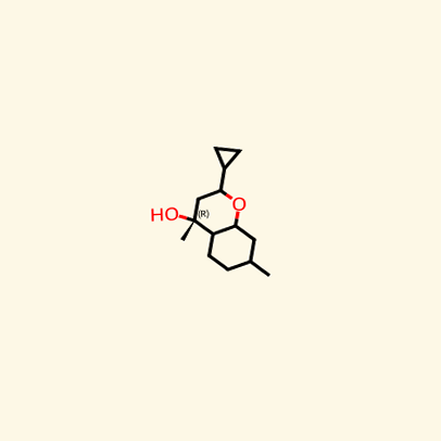 CC1CCC2C(C1)OC(C1CC1)C[C@@]2(C)O